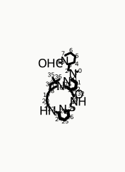 CN(CC1CCCCN1C=O)c1ccc2c(n1)N1CC(CCCNc3cccc(n3)SNC2=O)CC1(C)C